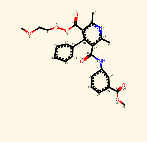 COCCOOC(=O)c1c(C)nc(C)c(C(=O)Nc2cccc(C(=O)OC)c2)c1-c1ccccc1